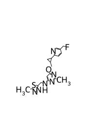 Cc1nc(NCc2nnc(C)s2)cc(OCC2CC2c2ccc(CF)cn2)n1